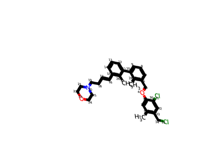 Cc1cc(OCc2cccc(-c3cccc(C=CCCN4CCOCC4)c3C)c2C)c(Cl)cc1CCl